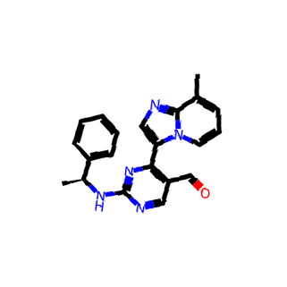 Cc1cccn2c(-c3nc(N[C@@H](C)c4ccccc4)ncc3C=O)cnc12